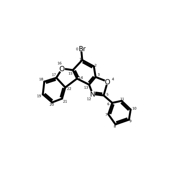 Brc1cc2oc(-c3ccccc3)nc2c2c1oc1ccccc12